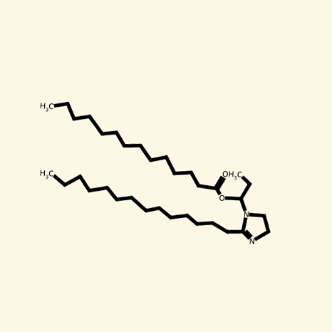 CCCCCCCCCCCCCCC1=NCCN1C(CC)OC(=O)CCCCCCCCCCCCC